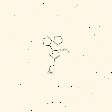 C[N+]1(C2CCCC2)C=C(CCP)N=C1C1CCCC1